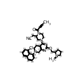 CC#CC(=O)N1CCN(c2nc(OCC3CCCN3C)nc3c2CCN(c2cccc4cccc(Cl)c24)C3)CC1CC#N